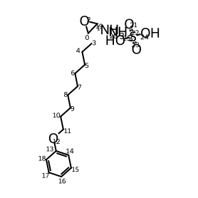 C1CO1.CCCCCCCCCOc1ccccc1.N.N.O=S(=O)(O)O